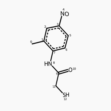 Cc1cc(N=O)ccc1NC(=O)CS